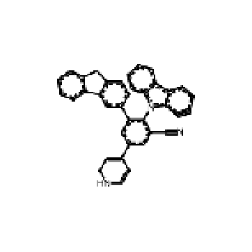 N#Cc1cc(C2=CCNC=C2)cc(-c2ccc3c(c2)-c2ccccc2C3)c1-n1c2c#cccc2c2ccccc21